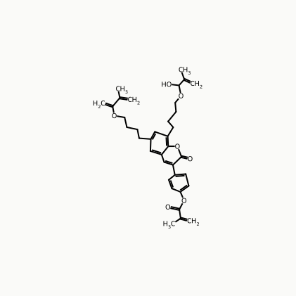 C=C(C)C(=C)OCCCCc1cc(CCCCOC(O)C(=C)C)c2oc(=O)c(-c3ccc(OC(=O)C(=C)C)cc3)cc2c1